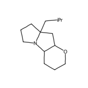 CC(C)CC12CCCN1C1CCCOC1C2